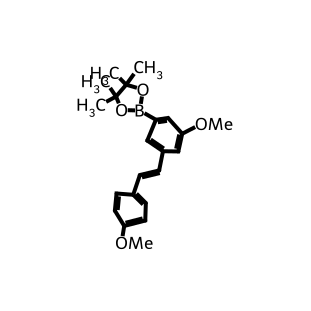 COc1ccc(C=Cc2cc(OC)cc(B3OC(C)(C)C(C)(C)O3)c2)cc1